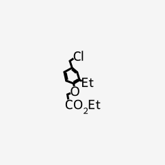 CCOC(=O)COc1ccc(CCl)cc1CC